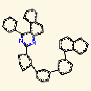 c1ccc(-c2nc(-c3cccc(-c4cccc(-c5cccc(-c6cccc7ccccc67)c5)c4)c3)nc3ccc4ccccc4c23)cc1